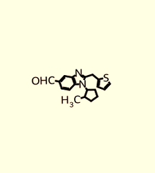 CC1CCCC1n1c(Cc2cccs2)nc2cc(C=O)ccc21